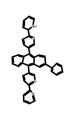 C1=CNC(c2ccc(-c3c4ccccc4c(-c4ccc(-c5ccccn5)nc4)c4cc(-c5ccccc5)ccc34)cn2)C=C1